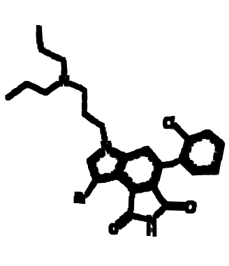 CCCN(CCC)CCCn1cc(Br)c2c3c(c(-c4ccccc4Cl)cc21)C(=O)NC3=O